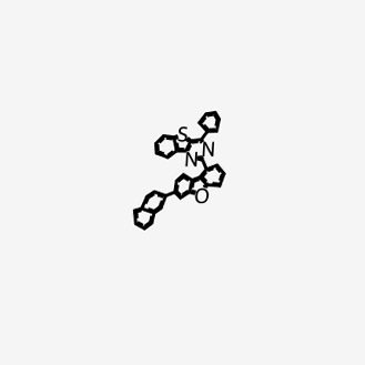 c1ccc(-c2nc(-c3cccc4oc5cc(-c6ccc7ccccc7c6)ccc5c34)nc3c2sc2ccccc23)cc1